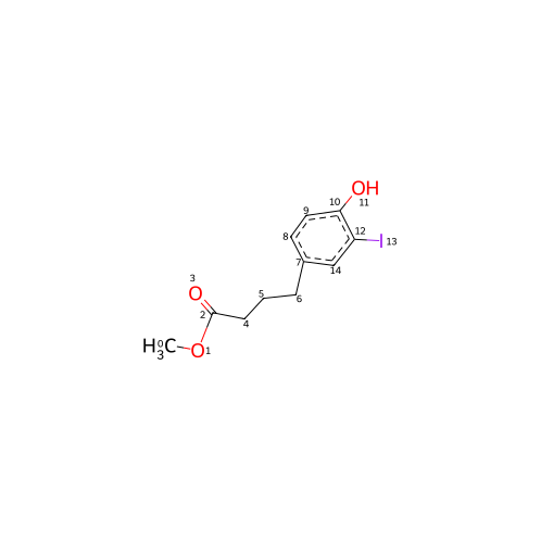 COC(=O)CCCc1ccc(O)c(I)c1